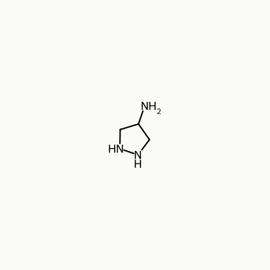 NC1CNNC1